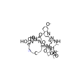 CCS(=O)(=O)N(C)C[C@@H](NC(=O)N[C@H]1CCCCC/C=C\C2C[C@@]2(C(=O)O)NC(=O)[C@@H]2C[C@@H](Oc3cc(-c4csc(NC(C)C)n4)nc4cc(OC)ccc34)CN2C1=O)C1CCC1